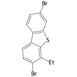 CCc1c(Br)ccc2c1sc1cc(Br)ccc12